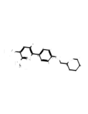 Nc1cc(Cl)c(-c2ccc(OCC3CCCCO3)cc2)nc1NO